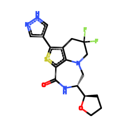 O=C1N[C@@H]([C@H]2CCCO2)CN2CC(F)(F)Cc3c(-c4cn[nH]c4)sc1c32